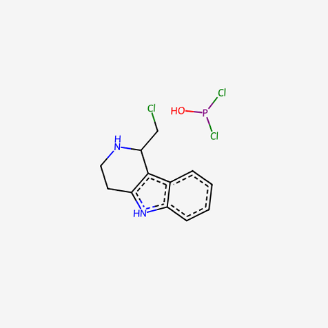 ClCC1NCCc2[nH]c3ccccc3c21.OP(Cl)Cl